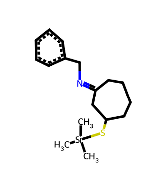 C[Si](C)(C)SC1CCCCC(=NCc2ccccc2)C1